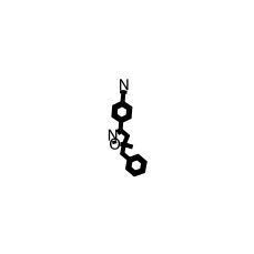 CC1(Cc2ccccc2)CC(c2ccc(C#N)cc2)=NO1